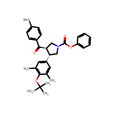 CSc1ccc(C(=O)[C@H]2CN(C(=O)Oc3ccccc3)C[C@@H]2c2cc(C)c(OC(C)(C)C(=O)O)c(C)c2)cc1